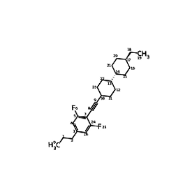 CCCc1cc(F)c(C#CC2CCC([C@H]3CC[C@H](CC)CC3)CC2)c(F)c1